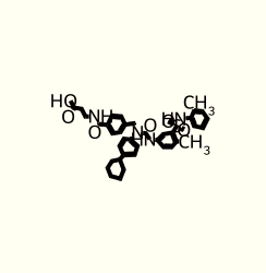 Cc1ccccc1NS(=O)(=O)c1cc(NC(=O)N(Cc2ccc(C(=O)NCCC(=O)O)cc2)c2ccc(C3CCCCC3)cc2)ccc1C